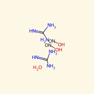 N=C(N)N.N=C(N)N.O.O=NO.O=NO